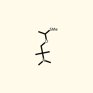 CSC(C)OCC(C)(C)N(C)C